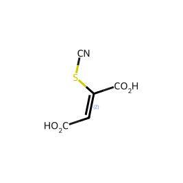 N#CS/C(=C\C(=O)O)C(=O)O